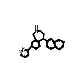 c1cnnc(-c2ccc3c(c2)CNCCC3c2ccc3ccccc3c2)c1